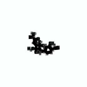 [2H]NC(=O)CC1C(C)(C)C(Oc2ccc(C#N)c(C)c2)C1(C)C